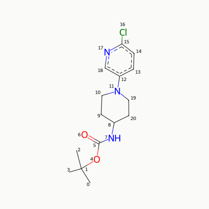 CC(C)(C)OC(=O)NC1CCN(c2ccc(Cl)nc2)CC1